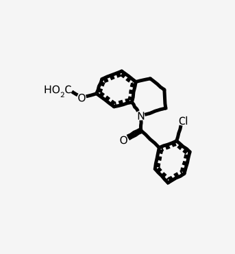 O=C(O)Oc1ccc2c(c1)N(C(=O)c1ccccc1Cl)CCC2